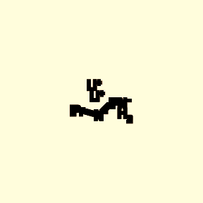 CC(C)[N-]C(C)C.[Li+].[Li+].[NH2-]